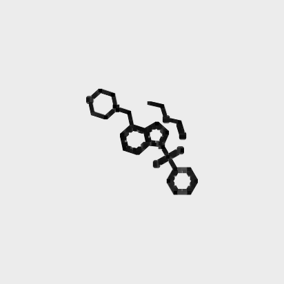 CCOC=O.O=S(=O)(c1ccccc1)n1ccc2c(CN3CCOCC3)cccc21